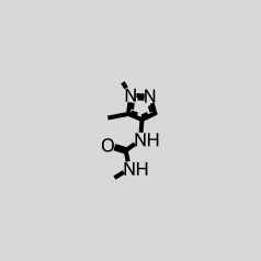 CNC(=O)Nc1cnn(C)c1C